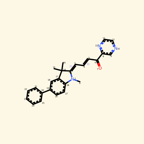 CN1/C(=C\C=C\C(=O)c2cnccn2)C(C)(C)c2cc(-c3ccccc3)ccc21